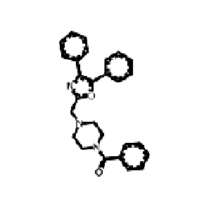 O=C(c1ccccc1)N1CCN(Cc2nc(-c3ccccc3)c(-c3ccccc3)o2)CC1